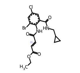 CCOC(=O)/C=C/C(=O)Nc1c(Br)cc(Cl)cc1C(=O)NCC1CC1